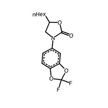 CCCCCCC1CN(c2ccc3c(c2)OC(F)(F)O3)C(=O)O1